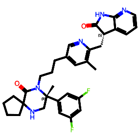 Cc1cc(CCCN2C(=O)C3(CCCC3)NC[C@@]2(C)c2cc(F)cc(F)c2)cnc1C[C@@H]1C(=O)Nc2ncccc21